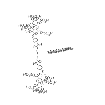 O=C(CCCCCCC(=O)Nc1ccc(S[C@@H]2O[C@H](COS(=O)(=O)O)[C@@H](O[C@@H]3O[C@H](COS(=O)(=O)O)[C@@H](OS(=O)(=O)O)[C@H](OS(=O)(=O)O)[C@H]3OS(=O)(=O)O)[C@H](OS(=O)(=O)O)[C@H]2OS(=O)(=O)O)cc1)Nc1ccc(S[C@@H]2O[C@H](COS(=O)(=O)O)[C@@H](O[C@@H]3O[C@H](COS(=O)(=O)O)[C@@H](OS(=O)(=O)O)[C@H](OS(=O)(=O)O)[C@H]3OS(=O)(=O)O)[C@H](OS(=O)(=O)O)[C@H]2OS(=O)(=O)O)cc1.[Na+].[Na+].[Na+].[Na+].[Na+].[Na+].[Na+].[Na+].[Na+].[Na+].[Na+].[Na+].[Na+].[Na+]